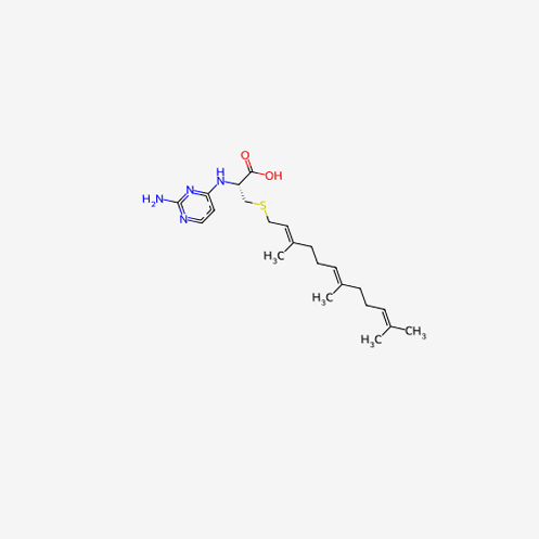 CC(C)=CCC/C(C)=C/CC/C(C)=C/CSC[C@H](Nc1ccnc(N)n1)C(=O)O